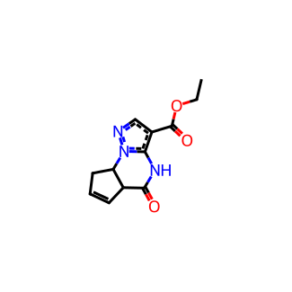 CCOC(=O)c1cnn2c1NC(=O)C1C=CCC12